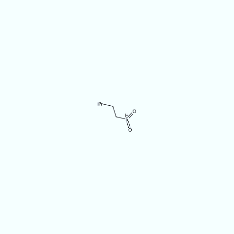 CC(C)CC[SH](=O)=O